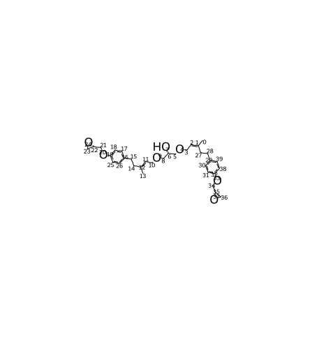 CC(=CCOCC(O)COCC=C(C)CCc1ccc(OCC2CO2)cc1)CCc1ccc(OCC2CO2)cc1